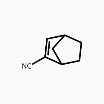 N#CC1=CC2CCC1C2